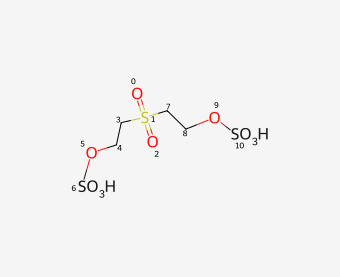 O=S(=O)(CCOS(=O)(=O)O)CCOS(=O)(=O)O